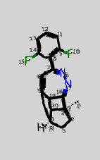 C[C@@]12CC[C@H]3C4=CC(c5c(F)cccc5F)=NN=C1C4C32